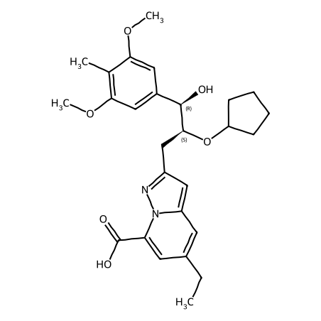 CCc1cc(C(=O)O)n2nc(C[C@H](OC3CCCC3)[C@H](O)c3cc(OC)c(C)c(OC)c3)cc2c1